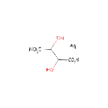 O=C(O)C(O)C(O)C(=O)O.[Ag]